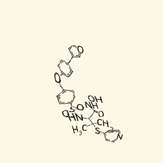 CC(C)(Sc1ccncc1)C(NS(=O)(=O)c1ccc(Oc2ccc(-c3ccoc3)cc2)cc1)C(=O)NO